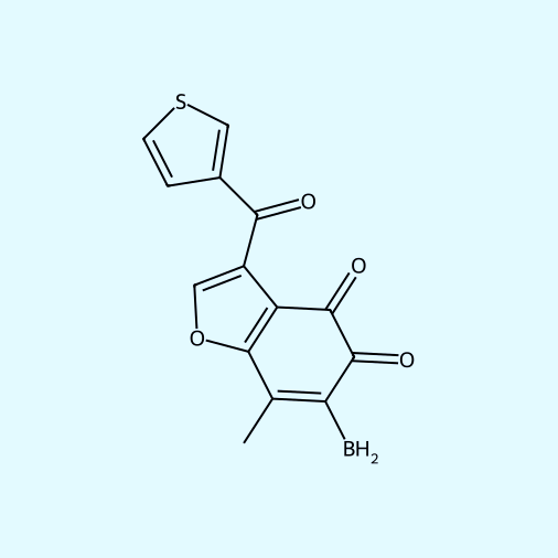 BC1=C(C)c2occ(C(=O)c3ccsc3)c2C(=O)C1=O